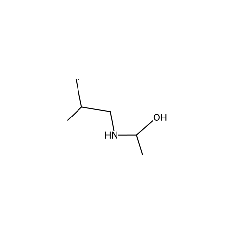 [CH2]C(C)CNC(C)O